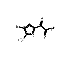 Cc1sc(C(=O)C(=O)O)cc1Br